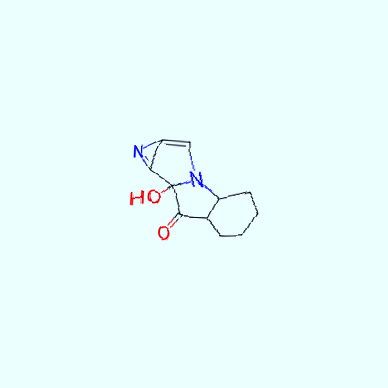 O=C1C2CCCCC2N2C=C3N=C3C12O